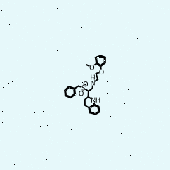 COc1ccccc1OCCNCC(C1CCc2ccccc2N1)S(=O)(=O)Cc1ccccc1